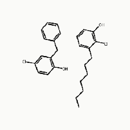 CCCCCCCc1cccc(O)c1Cl.Oc1ccc(Cl)cc1Cc1ccccc1